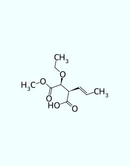 CC=C[C@@H](C(=O)O)[C@H](OCC)C(=O)OC